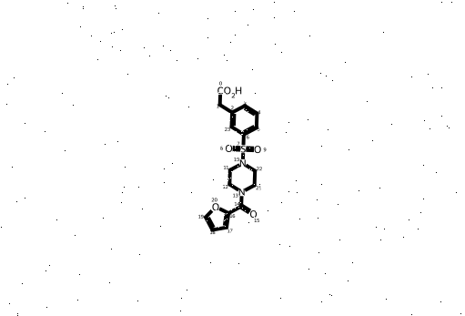 O=C(O)Cc1cccc(S(=O)(=O)N2CCN(C(=O)c3ccco3)CC2)c1